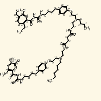 CCCCCCN(CCNC(=O)CCC(=O)NCCN(CCCC)CCOc1ccc(CCCCNC(=N)NC(=O)C2=C(CC)CC=C(CC)C(Cl)=N2)cc1)CCOc1ccc(CCCCNC(=N)NC(=O)c2nc(Cl)c(N)nc2N)cc1